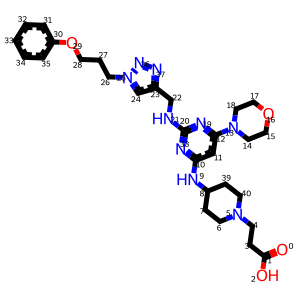 O=C(O)CCN1CCC(Nc2cc(N3CCOCC3)nc(NCc3cn(CCCOc4ccccc4)nn3)n2)CC1